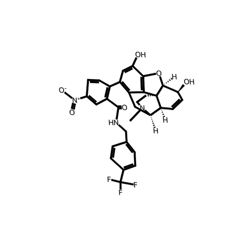 CN1CC[C@]23c4c5c(-c6ccc([N+](=O)[O-])cc6C(=O)NCc6ccc(C(F)(F)F)cc6)cc(O)c4O[C@H]2[C@@H](O)C=C[C@H]3[C@H]1C5